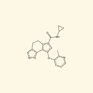 Cc1ncccc1Oc1sc(C(=O)NC2CC2)c2c1-c1sncc1CC2